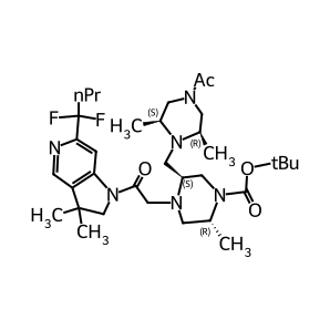 CCCC(F)(F)c1cc2c(cn1)C(C)(C)CN2C(=O)CN1C[C@@H](C)N(C(=O)OC(C)(C)C)C[C@@H]1CN1[C@H](C)CN(C(C)=O)C[C@@H]1C